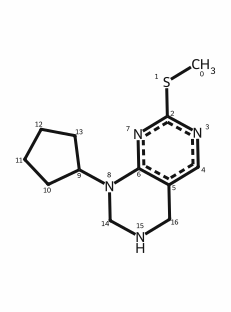 CSc1ncc2c(n1)N(C1CCCC1)CNC2